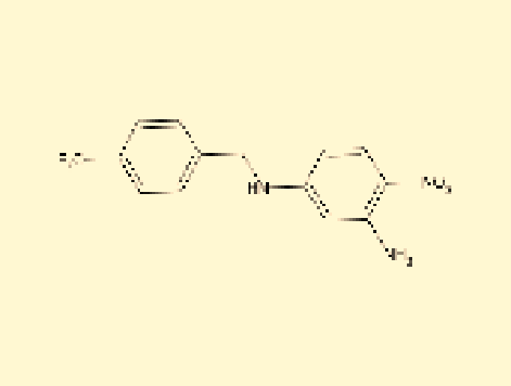 Nc1cc(NCc2ccc(C(F)(F)F)cc2)ccc1[N+](=O)[O-]